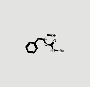 CC(C)(C)NC(=O)O[C@@H](CO)Cc1ccccc1